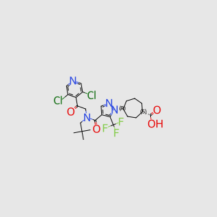 CC(C)(C)CN(CC(=O)c1c(Cl)cncc1Cl)C(=O)c1cnn([C@@H]2CCC[C@H](C(=O)O)CC2)c1C(F)(F)F